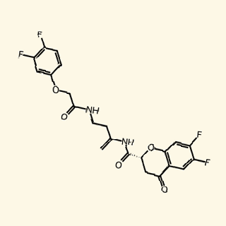 C=C(CCNC(=O)COc1ccc(F)c(F)c1)NC(=O)[C@H]1CC(=O)c2cc(F)c(F)cc2O1